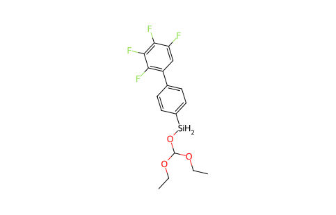 CCOC(OCC)O[SiH2]c1ccc(-c2cc(F)c(F)c(F)c2F)cc1